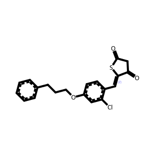 O=C1CC(=O)/C(=C/c2ccc(OCCCc3ccccc3)cc2Cl)S1